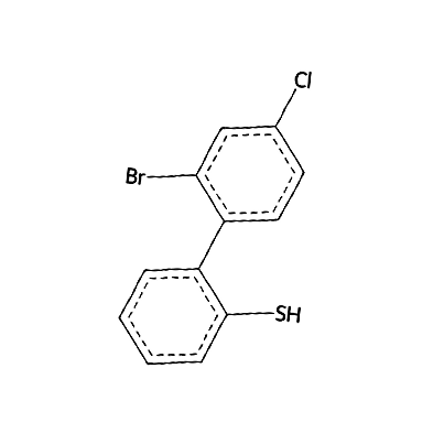 Sc1ccccc1-c1ccc(Cl)cc1Br